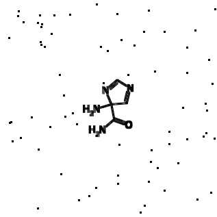 NC(=O)C1(N)C=NC=N1